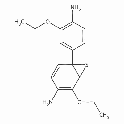 CCOC1=C(N)C=CC2(c3ccc(N)c(OCC)c3)SC12